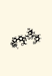 CC(=O)c1nn(CC(=O)N2C[C@H]3C[C@H]3[C@H]2C(=O)Nc2nc(Br)ccc2C)c2ccc(-c3cncc(S(N)(=O)=O)c3)cc12